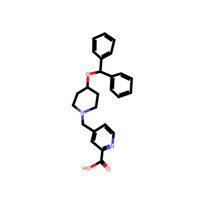 O=C(O)c1cc(CN2CCC(OC(c3ccccc3)c3ccccc3)CC2)ccn1